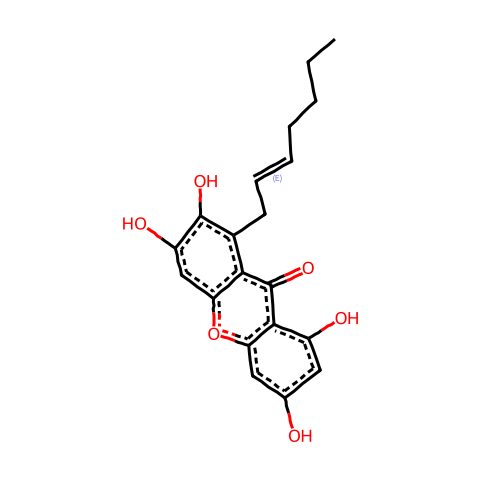 CCCC/C=C/Cc1c(O)c(O)cc2oc3cc(O)cc(O)c3c(=O)c12